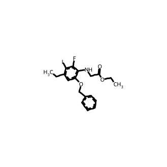 CCOC(=O)CNc1c(OCc2ccccc2)cc(CC)c(I)c1F